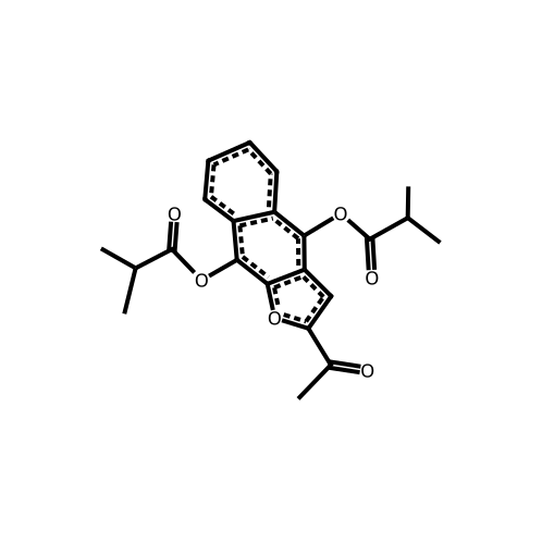 CC(=O)c1cc2c(OC(=O)C(C)C)c3ccccc3c(OC(=O)C(C)C)c2o1